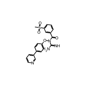 CS(=O)(=O)c1cccc(C(=O)N(Oc2ccc(-c3cccnc3)cc2)C(=N)N)c1